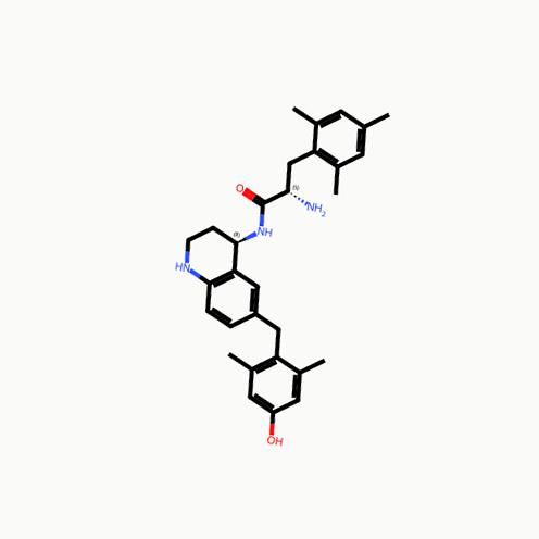 Cc1cc(C)c(C[C@H](N)C(=O)N[C@@H]2CCNc3ccc(Cc4c(C)cc(O)cc4C)cc32)c(C)c1